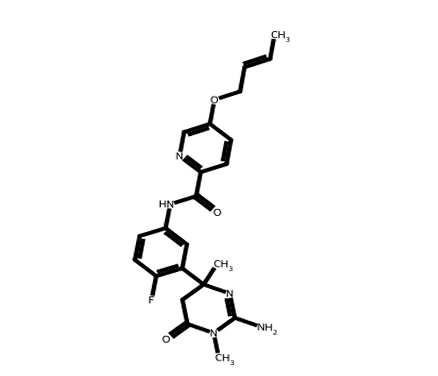 C/C=C/COc1ccc(C(=O)Nc2ccc(F)c(C3(C)CC(=O)N(C)C(N)=N3)c2)nc1